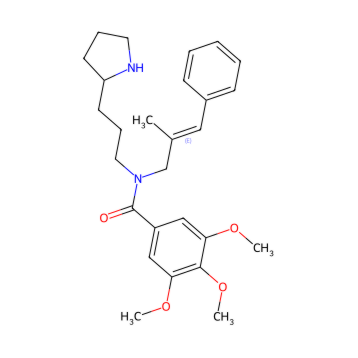 COc1cc(C(=O)N(CCCC2CCCN2)C/C(C)=C/c2ccccc2)cc(OC)c1OC